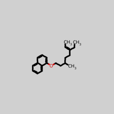 CC=C(CC)CCC(C)CCOc1cccc2ccccc12